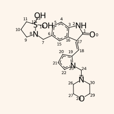 O=C1Nc2ccc(CN3CCCS3(O)O)cc2/C1=C\c1cccn1CN1CCOCC1